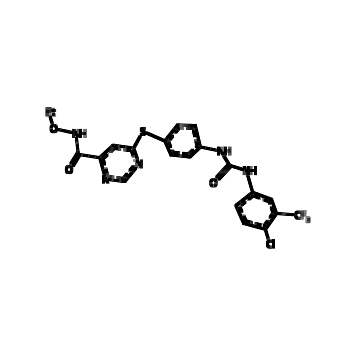 CCONC(=O)c1cc(Sc2ccc(NC(=O)Nc3ccc(Cl)c(C(F)(F)F)c3)cc2)ncn1